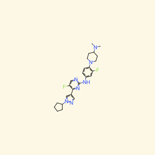 CN(C)C1CCN(c2ccc(Nc3ncc(F)c(-c4cnn(C5CCCC5)c4)n3)cc2F)CC1